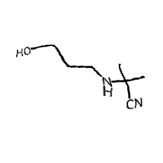 CC(C)(C#N)NCCCO